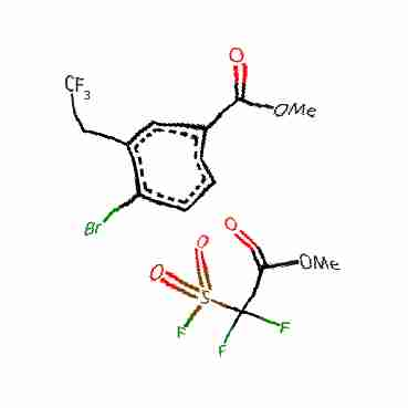 COC(=O)C(F)(F)S(=O)(=O)F.COC(=O)c1ccc(Br)c(CC(F)(F)F)c1